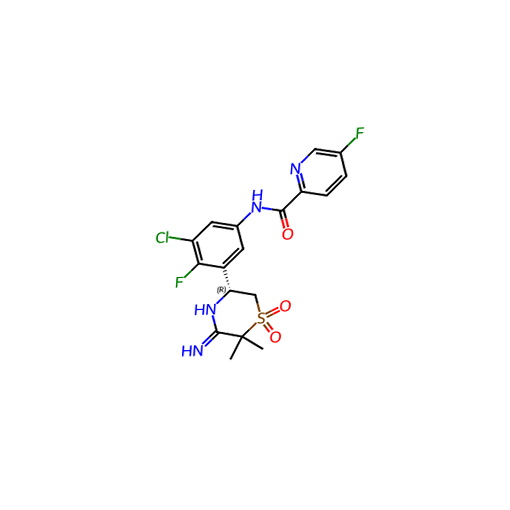 CC1(C)C(=N)N[C@H](c2cc(NC(=O)c3ccc(F)cn3)cc(Cl)c2F)CS1(=O)=O